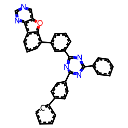 c1ccc(-c2ccc(-c3nc(-c4ccccc4)nc(-c4cccc(-c5cccc6c5oc5cncnc56)c4)n3)cc2)cc1